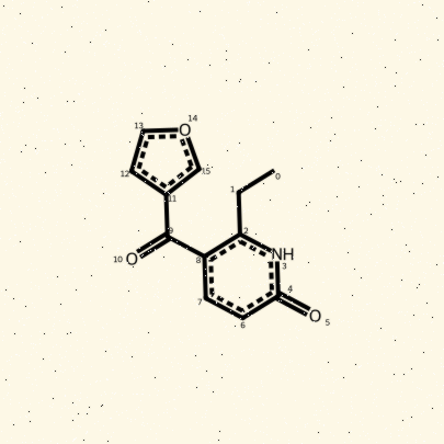 CCc1[nH]c(=O)ccc1C(=O)c1ccoc1